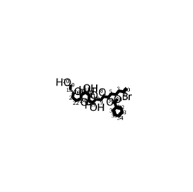 C=C(Br)CC(CCC(=O)CC1O[C@H]2C(O)[C@H]3O[C@@H](CCO)CCC3O[C@H]2[C@H]1O)OC(=O)c1ccccc1